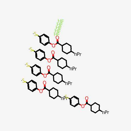 CCCC1CCC(C(=O)Oc2ccc([S])cc2)CC1.CCCC1CCC(C(=O)Oc2ccc([S])cc2)CC1.CCCC1CCC(C(=O)Oc2ccc([S])cc2)CC1.CCCC1CCC(C(=O)Oc2ccc([S])cc2)CC1.CCCC1CCC(C(=O)Oc2ccc([S])cc2)CC1.F.F.F.F.F